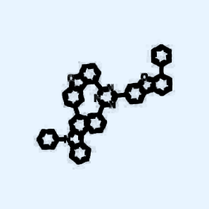 c1ccc(-c2nc(-c3ccc4c(c3)oc3c(-c5ccccc5)cccc34)nc(-c3cccc4oc5ccc(-c6ccc7c8ccccc8n(-c8ccccc8)c7c6)cc5c34)n2)cc1